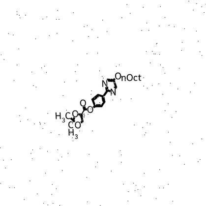 CCCCCCCCOc1cnc(-c2ccc(OC(=O)[C@H]3COC(C)(C)O3)cc2)nc1